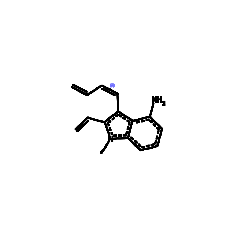 C=C/C=C\c1c(C=C)n(C)c2cccc(N)c12